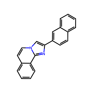 c1ccc2cc(-c3cn4ccc5ccccc5c4n3)ccc2c1